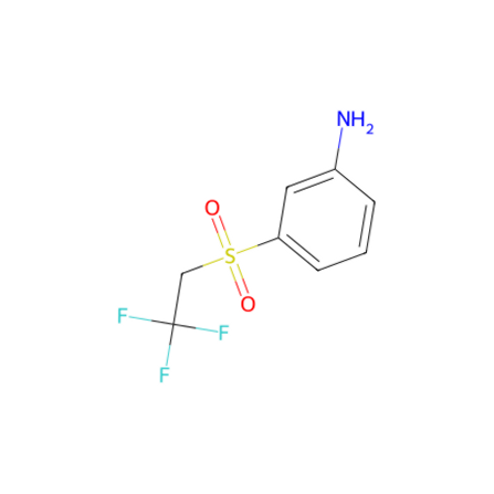 Nc1cccc(S(=O)(=O)CC(F)(F)F)c1